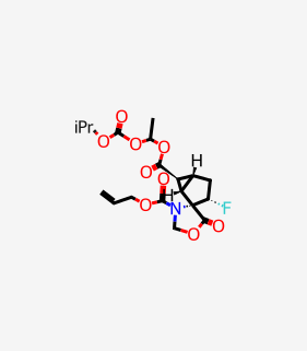 C=CCOC(=O)N1COC(=O)[C@]12[C@H]1[C@@H](C[C@@H]2F)[C@@H]1C(=O)OC(C)OC(=O)OC(C)C